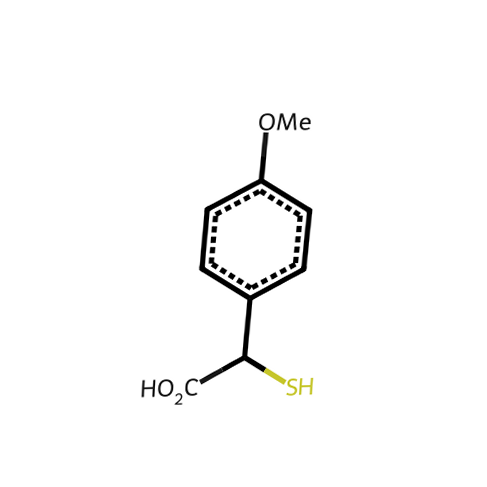 COc1ccc(C(S)C(=O)O)cc1